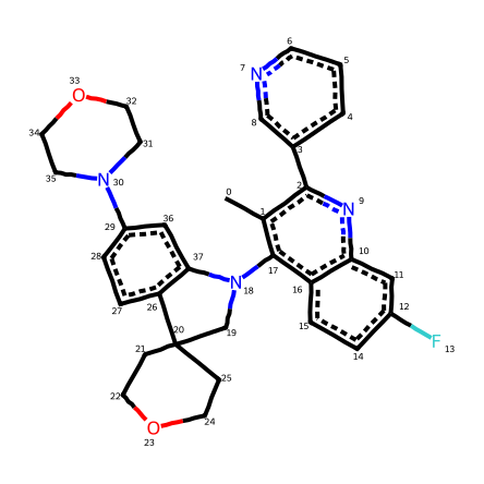 Cc1c(-c2cccnc2)nc2cc(F)ccc2c1N1CC2(CCOCC2)c2ccc(N3CCOCC3)cc21